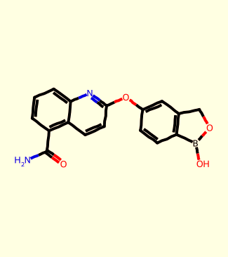 NC(=O)c1cccc2nc(Oc3ccc4c(c3)COB4O)ccc12